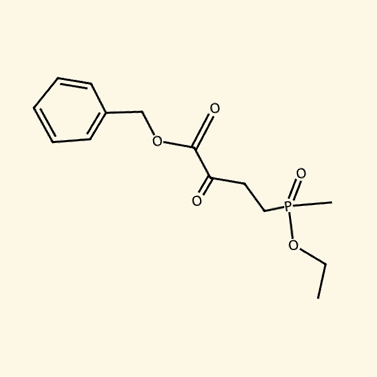 CCOP(C)(=O)CCC(=O)C(=O)OCc1ccccc1